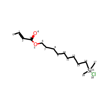 CC=CC(=O)OCCCCCCCCC[Si](C)(C)Cl